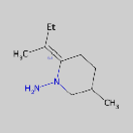 CC/C(C)=C1\CCC(C)CN1N